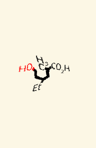 CCC(C=C(C)C(=O)O)CCO